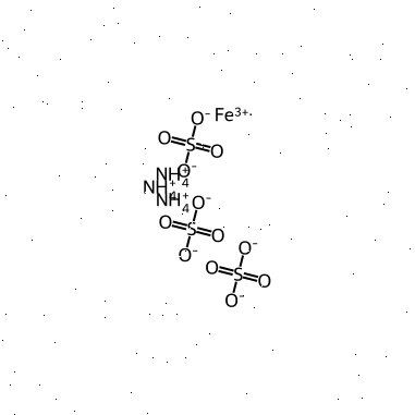 O=S(=O)([O-])[O-].O=S(=O)([O-])[O-].O=S(=O)([O-])[O-].[Fe+3].[NH4+].[NH4+].[NH4+]